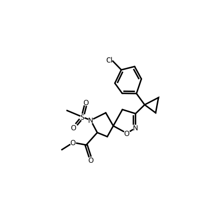 COC(=O)C1CC2(CC(C3(c4ccc(Cl)cc4)CC3)=NO2)CN1S(C)(=O)=O